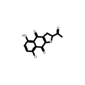 CC(=O)C1CC2=C(O1)C(=O)c1c(Cl)ccc(O)c1C2=O